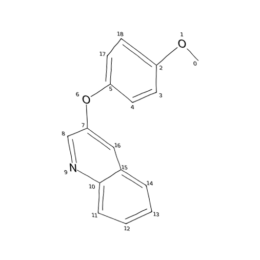 COc1ccc(Oc2cnc3ccccc3c2)cc1